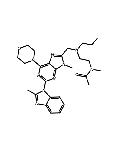 CCCN(CCN(C)C(C)=O)Cc1nc2c(N3CCOCC3)nc(-n3c(C)nc4ccccc43)nc2n1C